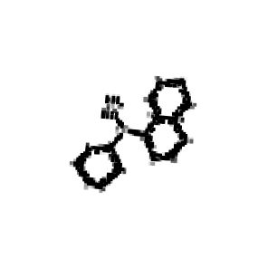 B.OP(c1ccccc1)c1cccc2ccccc12